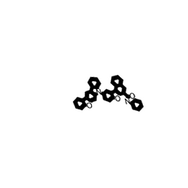 c1ccc2c(c1)cc(-c1nc3ccccc3o1)c1oc3ccc(-n4c5ccccc5c5cc6c(cc54)oc4ccccc46)cc3c12